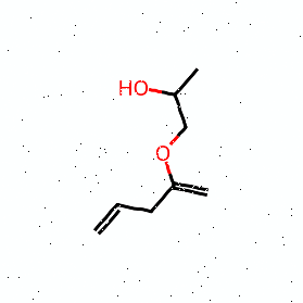 C=CCC(=C)OCC(C)O